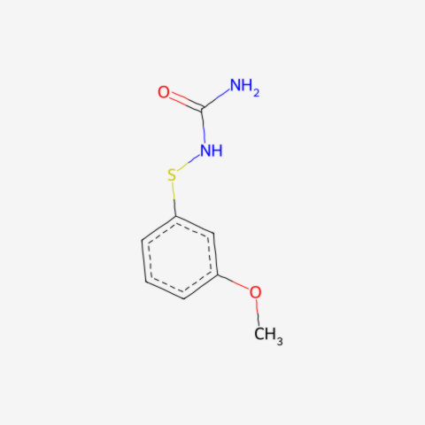 COc1cccc(SNC(N)=O)c1